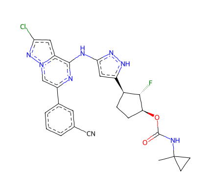 CC1(NC(=O)O[C@H]2CC[C@@H](c3cc(Nc4nc(-c5cccc(C#N)c5)cn5nc(Cl)cc45)n[nH]3)[C@@H]2F)CC1